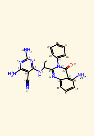 CC(Nc1nc(N)nc(N)c1C#N)c1nc2cccc(N)c2c(=O)n1-c1ccccc1